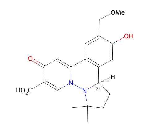 COCc1cc2c(cc1O)[C@H]1CCC(C)(C)N1n1cc(C(=O)O)c(=O)cc1-2